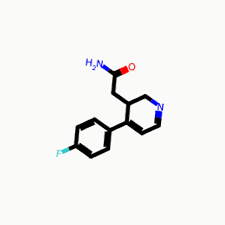 NC(=O)CC1CN=CC=C1c1ccc(F)cc1